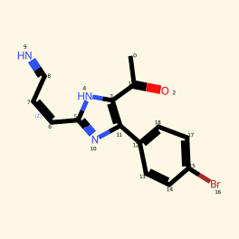 CC(=O)c1[nH]c(/C=C\C=N)nc1-c1ccc(Br)cc1